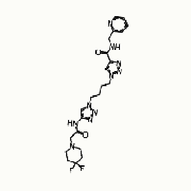 O=C(CN1CCC(F)(F)CC1)Nc1cn(CCCCn2cc(C(=O)NCc3ccccn3)nn2)nn1